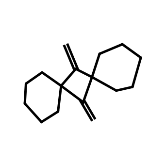 C=C1C2(CCCCC2)C(=C)C12CCCCC2